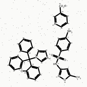 Cc1cc(NS(=O)(=O)c2ccc(N)cc2)no1.Clc1ccccc1C(c1ccccc1)(c1ccccc1)n1ccnc1.O=C(O)c1cccnc1